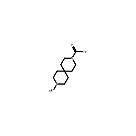 CCCN1CCC2(CC1)CCN(C(=O)C(C)C)CC2